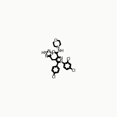 O=C(NN1CCOCC1)c1nn(-c2ccc(Cl)cc2Cl)c(-c2ccc(Cl)cc2)c1Cc1nn[nH]n1